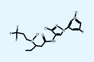 CCC(CC(=O)Nc1cn(-c2cc(F)c[n+]([O-])c2)nc1Cl)[S+]([O-])CCC(F)(F)F